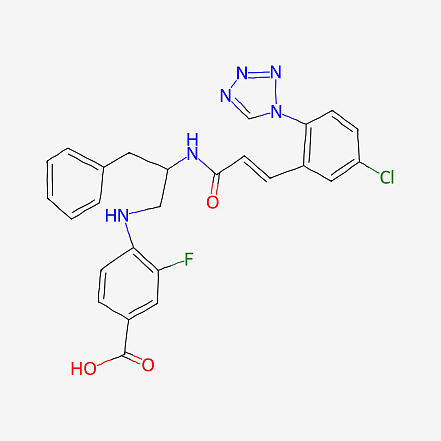 O=C(C=Cc1cc(Cl)ccc1-n1cnnn1)NC(CNc1ccc(C(=O)O)cc1F)Cc1ccccc1